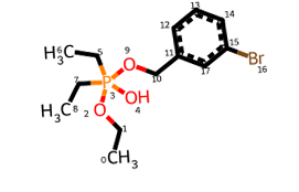 CCOP(O)(CC)(CC)OCc1cccc(Br)c1